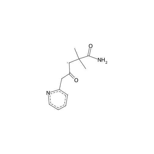 CC(C)([CH]C(=O)Cc1ccccn1)C(N)=O